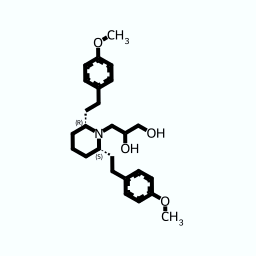 COc1ccc(CC[C@H]2CCC[C@@H](CCc3ccc(OC)cc3)N2CC(O)CO)cc1